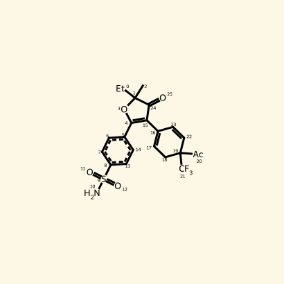 CCC1(C)OC(c2ccc(S(N)(=O)=O)cc2)=C(C2=CCC(C(C)=O)(C(F)(F)F)C=C2)C1=O